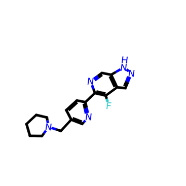 Fc1c(-c2ccc(CN3CCCCC3)cn2)ncc2[nH]ncc12